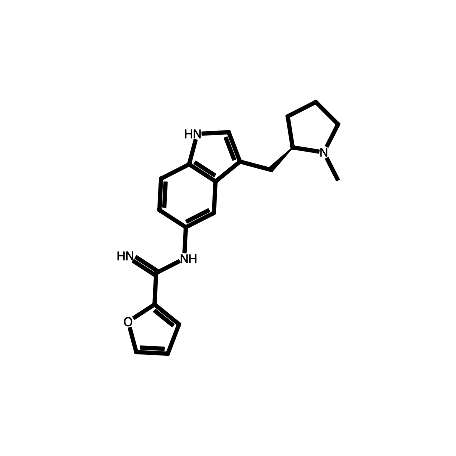 CN1CCC[C@@H]1Cc1c[nH]c2ccc(NC(=N)c3ccco3)cc12